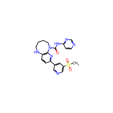 CS(=O)(=O)c1cncc(-c2ccc3c(n2)N(C(=O)Nc2ccncn2)CCCCN3)c1